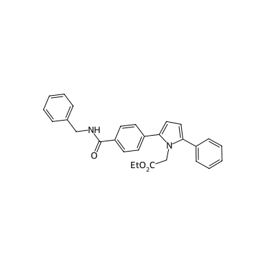 CCOC(=O)Cn1c(-c2ccccc2)ccc1-c1ccc(C(=O)NCc2ccccc2)cc1